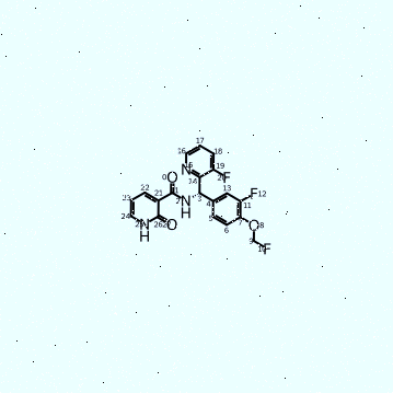 O=C(N[C@@H](c1ccc(OCF)c(F)c1)c1ncccc1F)c1ccc[nH]c1=O